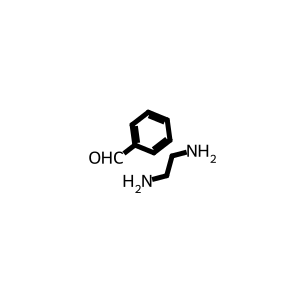 NCCN.O=Cc1ccccc1